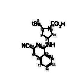 CC(C)(C)C1CC(Nc2nc(C#N)cc3cccnc23)CN1C(=O)O